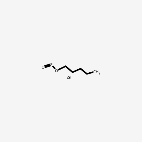 CCCCCOP=O.[Zn]